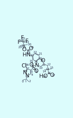 CC(C)n1cc(S(=O)(=O)N2CC(CC(C)(C)C(=O)O)Oc3ccc(NC(=O)OC(C)(C)C(F)(F)F)cc32)c(Cl)n1